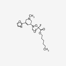 CCCCCCOC(=O)C(F)(F)ON(C=O)C1C=C(c2ncco2)CN(C)C1